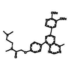 COc1cc(-c2cc(-c3ccc(OCC(=O)N(C)CCN(C)C)cc3)c3ncnc(C)c3c2)cnc1OC